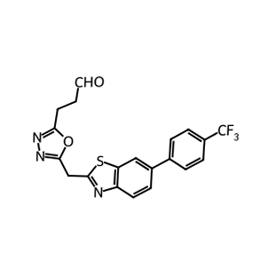 O=CCCc1nnc(Cc2nc3ccc(-c4ccc(C(F)(F)F)cc4)cc3s2)o1